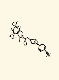 COc1nc2c(c(OC)n1)C(C)N(C(=O)CC1CN(c3ccc(C#N)cc3)C1)C2